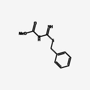 COC(=O)NC(=N)SCc1ccccc1